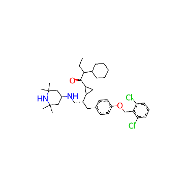 CCC(C(=O)C1CC1[C@@H](CNC1CC(C)(C)NC(C)(C)C1)Cc1ccc(OCc2c(Cl)cccc2Cl)cc1)C1CCCCC1